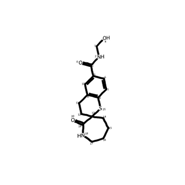 O=C(NCO)c1ccc2c(c1)CCC1(CCCCNC1=O)S2